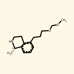 COCOCCCc1cccc2c1CCN[C@H]2C